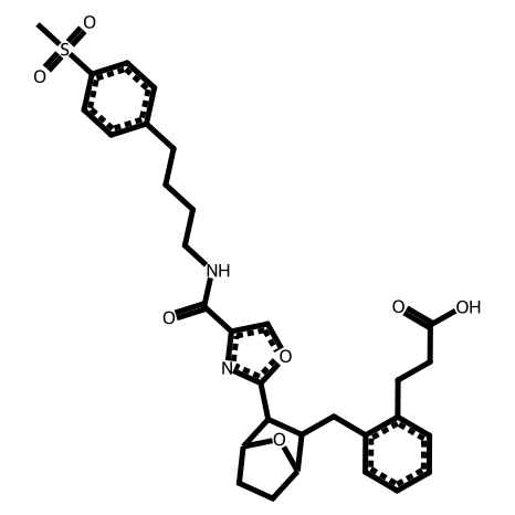 CS(=O)(=O)c1ccc(CCCCNC(=O)c2coc(C3C4CCC(O4)C3Cc3ccccc3CCC(=O)O)n2)cc1